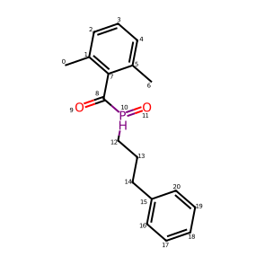 Cc1cccc(C)c1C(=O)[PH](=O)CCCc1ccccc1